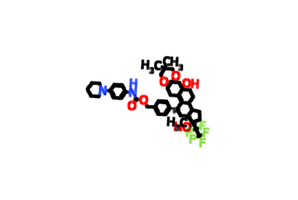 CC1(C)COC2(CCC3=C4C(CCC3(O)C2)C2CC[C@@](O)(C(F)(F)C(F)(F)F)[C@@]2(C)C[C@@H]4c2ccc(COC(=O)Nc3ccc(N4CCCCC4)cc3)cc2)OC1